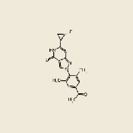 CC(=O)c1cc(C)c(-n2cc3c(=O)[nH]c([C@H]4C[C@@H]4F)nc3n2)c(C)c1